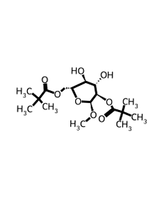 CO[C@H]1O[C@H](COC(=O)C(C)(C)C)[C@@H](O)[C@H](O)[C@H]1OC(=O)C(C)(C)C